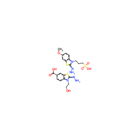 COc1ccc2c(c1)sc(=NN)n2CCCS(=O)(=O)O.NN=c1sc2cc(C(=O)O)ccc2n1CCO